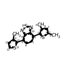 Cc1cc(C)c(-c2ccc(-c3sccc3C)c3nsnc23)s1